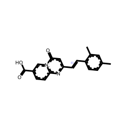 Cc1ccc(/C=C/c2cc(=O)n3cc(C(=O)O)ccc3n2)c(C)c1